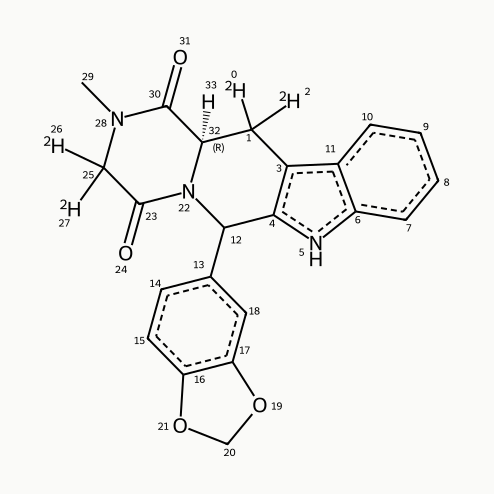 [2H]C1([2H])c2c([nH]c3ccccc23)C(c2ccc3c(c2)OCO3)N2C(=O)C([2H])([2H])N(C)C(=O)[C@H]21